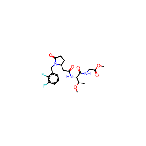 COC(=O)CNC(=O)[C@@H](NC(=O)C[C@@H]1CCC(=O)N1Cc1cccc(F)c1F)[C@@H](C)OC